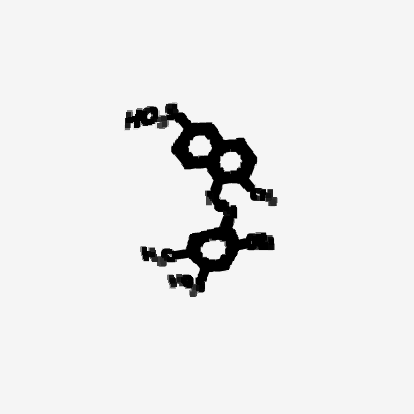 COc1cc(S(=O)(=O)O)c(C)cc1/N=N/c1c(C)ccc2cc(S(=O)(=O)O)ccc12